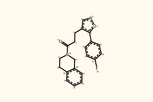 O=C(CCc1cnoc1-c1ccc(F)cc1)N1CCc2ccccc2C1